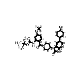 CC(C)(C)OC(=O)Nc1cc(OC(F)(F)F)ccc1C(=O)N1CCC(n2c(=O)[nH]c3ncc(C4=CCC(O)CC4)cc32)CC1